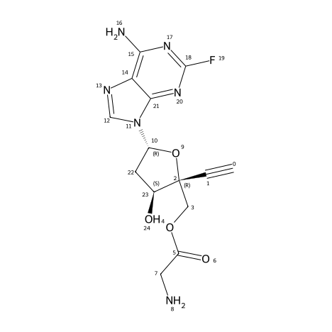 C#C[C@]1(COC(=O)CN)O[C@@H](n2cnc3c(N)nc(F)nc32)C[C@@H]1O